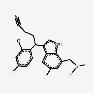 C[S+]([O-])Cc1cc(F)cc2c(C(CCC#N)c3ccc(Cl)cc3Cl)c[nH]c12